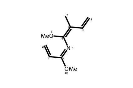 C=C/C(=N\C(OC)=C(\C)C=C)OC